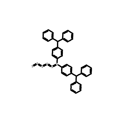 S=S=S=S=S=S(c1ccc(C(c2ccccc2)c2ccccc2)cc1)c1ccc(C(c2ccccc2)c2ccccc2)cc1